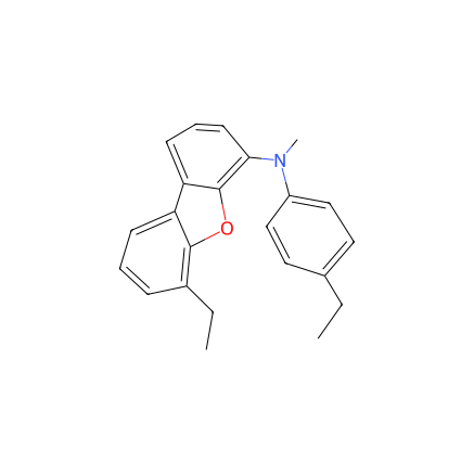 CCc1ccc(N(C)c2cccc3c2oc2c(CC)cccc23)cc1